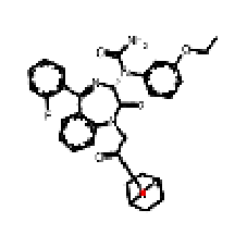 CCOc1cccc(N(C(N)=O)[C@H]2N=C(c3ccccc3F)c3ccccc3N(CC(=O)N3CC4CCC(CC4)C3)C2=O)c1